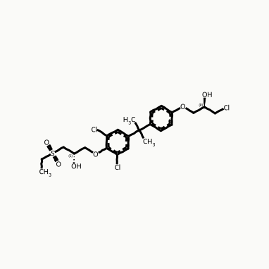 CCS(=O)(=O)C[C@@H](O)COc1c(Cl)cc(C(C)(C)c2ccc(OC[C@@H](O)CCl)cc2)cc1Cl